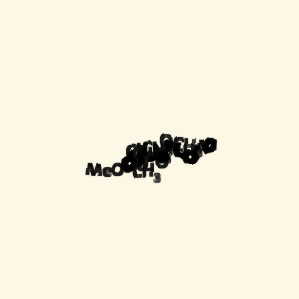 COc1cc(C)c(S(=O)(=O)N(C)Cc2nc(C(=O)N(C)Cc3cccc(CN4CCCC4)c3)co2)c(C)c1